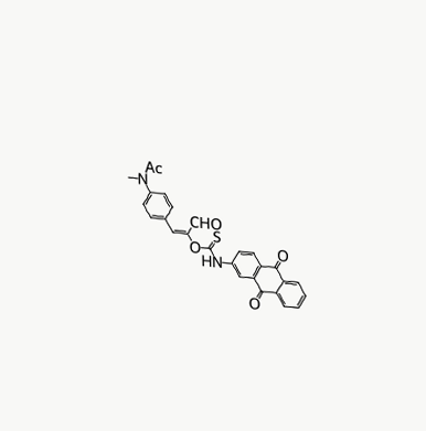 CC(=O)N(C)c1ccc(/C=C(\C=O)OC(=S)Nc2ccc3c(c2)C(=O)c2ccccc2C3=O)cc1